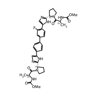 COC(=O)N[C@@H](C)C(=O)N1CCC[C@H]1c1ncc(-c2ccc(-c3ccc(-c4cnc([C@@H]5CCCN5C(=O)[C@H](C)NC(=O)OC)[nH]4)c(F)c3)cc2)[nH]1